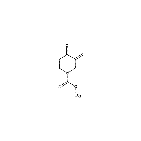 C=C1CN(C(=O)OC(C)(C)C)CCC1=O